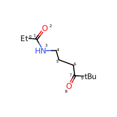 CCC(=O)NCCCC(=O)C(C)(C)C